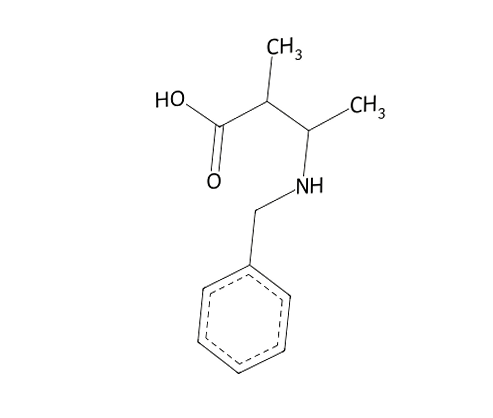 CC(NCc1ccccc1)C(C)C(=O)O